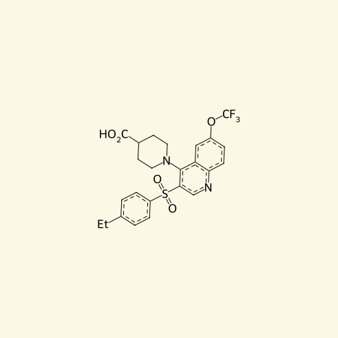 CCc1ccc(S(=O)(=O)c2cnc3ccc(OC(F)(F)F)cc3c2N2CCC(C(=O)O)CC2)cc1